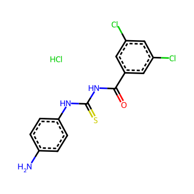 Cl.Nc1ccc(NC(=S)NC(=O)c2cc(Cl)cc(Cl)c2)cc1